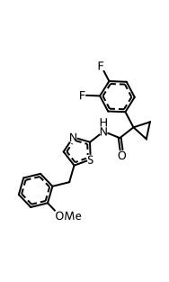 COc1ccccc1Cc1cnc(NC(=O)C2(c3ccc(F)c(F)c3)CC2)s1